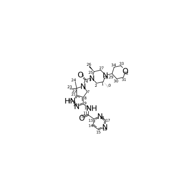 C[C@@H]1CN(C(=O)N2Cc3c(NC(=O)c4ccncn4)n[nH]c3C2(C)C)[C@@H](C)CN1C1CCOCC1